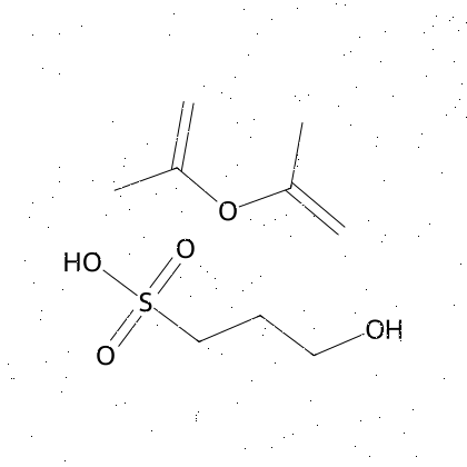 C=C(C)OC(=C)C.O=S(=O)(O)CCCO